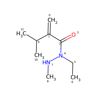 C=C(C(=O)N(CC)NC)C(C)C